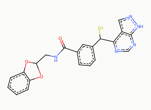 O=C(NCC1Oc2ccccc2O1)c1cccc(C(S)c2ncnc3[nH]ncc23)c1